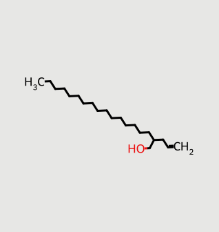 C=CCC(CO)CCCCCCCCCCCCCCCC